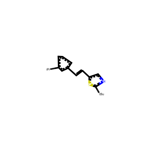 CC(C)c1cccc(/C=C/c2cnc(C(C)(C)C)s2)c1